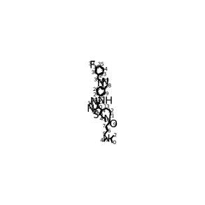 CC(C)N(C)CC=CC(=O)N1CCCc2c(sc3ncnc(Nc4ccc5c(cnn5Cc5cccc(F)c5)c4)c23)C1